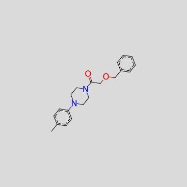 Cc1ccc(N2CCN(C(=O)COCc3ccccc3)CC2)cc1